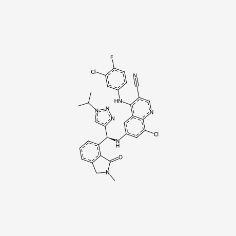 CC(C)n1cc([C@@H](Nc2cc(Cl)c3ncc(C#N)c(Nc4ccc(F)c(Cl)c4)c3c2)c2cccc3c2C(=O)N(C)C3)nn1